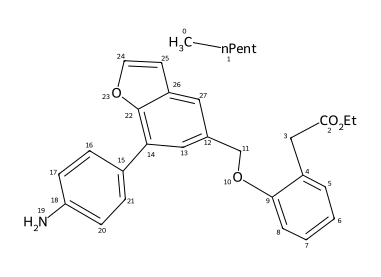 CCCCCC.CCOC(=O)Cc1ccccc1OCc1cc(-c2ccc(N)cc2)c2occc2c1